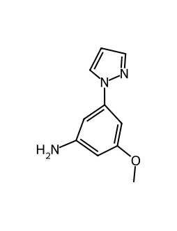 COc1cc(N)cc(-n2cccn2)c1